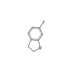 Ic1ccc2c(c1)OCC2